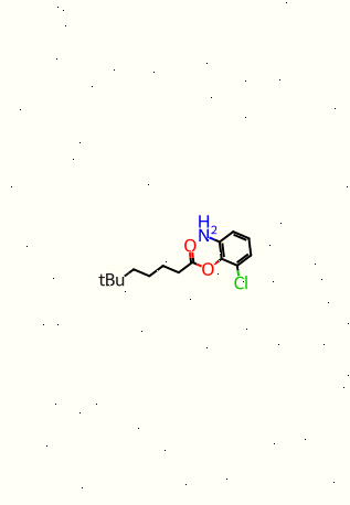 CC(C)(C)CCCCC(=O)Oc1c(N)cccc1Cl